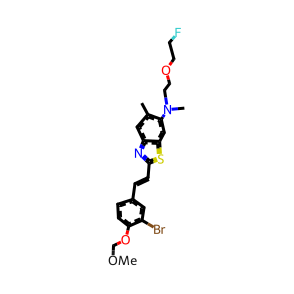 COCOc1ccc(C=Cc2nc3cc(C)c(N(C)CCOCCF)cc3s2)cc1Br